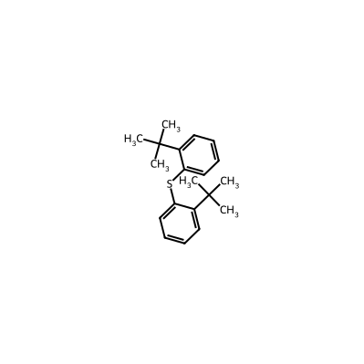 CC(C)(C)c1ccccc1Sc1ccccc1C(C)(C)C